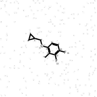 Cc1c(OCC2CC2)ccc(F)c1F